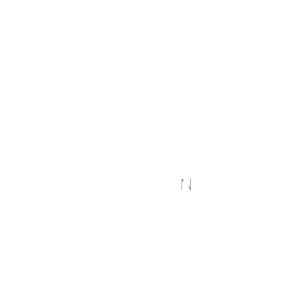 CCC1CCCN(CC)CC1